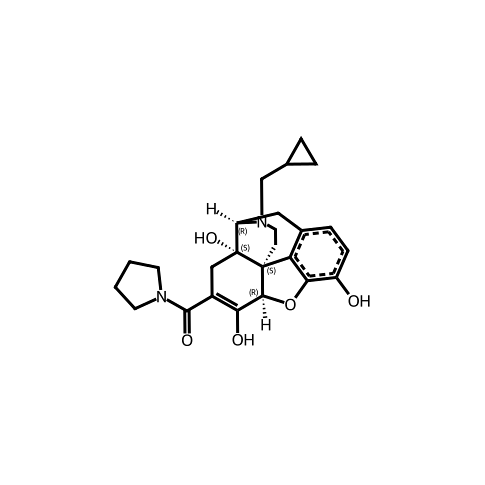 O=C(C1=C(O)[C@@H]2Oc3c(O)ccc4c3[C@@]23CCN(CC2CC2)[C@H](C4)[C@]3(O)C1)N1CCCC1